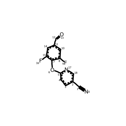 N#Cc1ccc(Oc2c(F)cc(C=O)cc2F)nc1